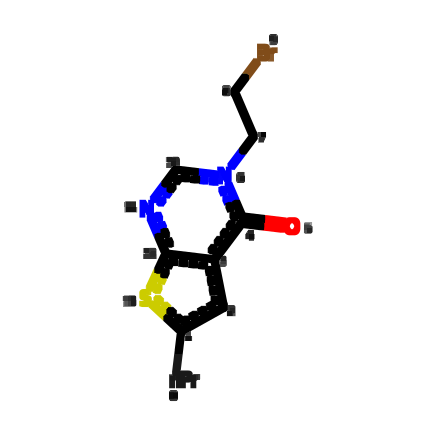 CCCc1cc2c(=O)n(CCBr)cnc2s1